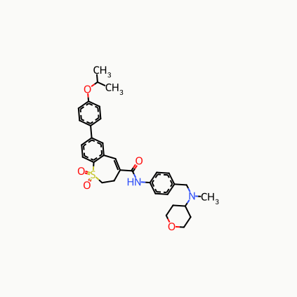 CC(C)Oc1ccc(-c2ccc3c(c2)C=C(C(=O)Nc2ccc(CN(C)C4CCOCC4)cc2)CCS3(=O)=O)cc1